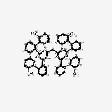 Cc1ccccc1-c1ccccc1-c1nc(Cc2nc(-c3ccccc3-c3ccccc3C)nc(-c3ccccc3-c3ccccc3C)n2)nc(-c2ccccc2-c2ccccc2C)n1